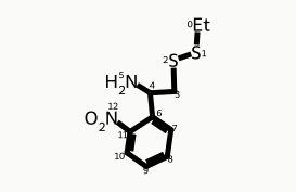 CCSSCC(N)c1ccccc1[N+](=O)[O-]